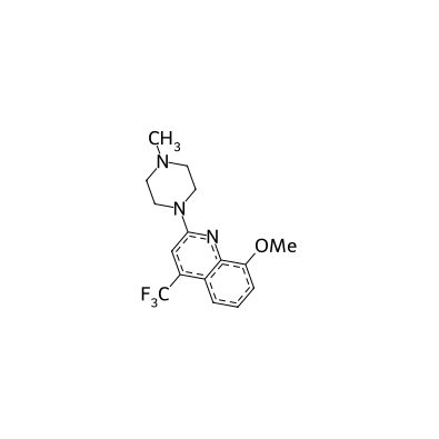 COc1cccc2c(C(F)(F)F)cc(N3CCN(C)CC3)nc12